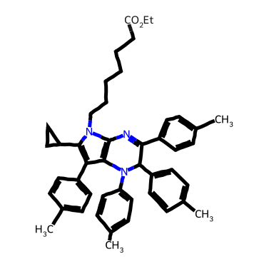 CCOC(=O)CCCCCCn1c2c(c(-c3ccc(C)cc3)c1C1CC1)N(c1ccc(C)cc1)C(c1ccc(C)cc1)C(c1ccc(C)cc1)=N2